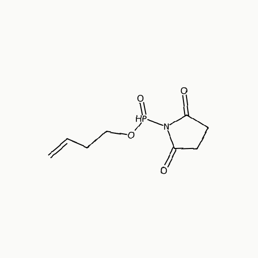 C=CCCO[PH](=O)N1C(=O)CCC1=O